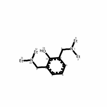 CCN(CC)Cc1cccc(CN(CC)CC)c1O